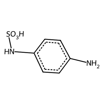 Nc1ccc(NS(=O)(=O)O)cc1